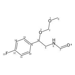 COCOC(CNC=O)c1ccc(F)cc1